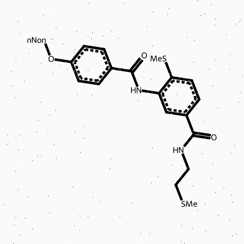 CCCCCCCCCOc1ccc(C(=O)Nc2cc(C(=O)NCCSC)ccc2SC)cc1